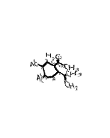 C=C(C)C1CC(C(C)=O)C(C(C)=O)CC1C(=C)C